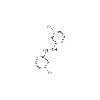 Brc1cccc(NNc2cccc(Br)n2)n1